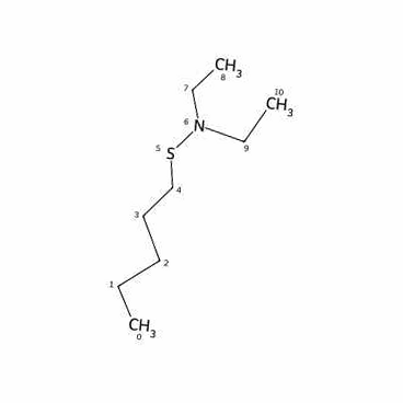 CCCCCSN(CC)CC